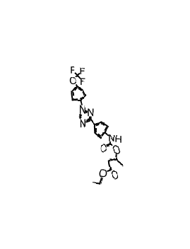 CCOC(=O)CC(C)OC(=O)Nc1ccc(-c2ncn(-c3ccc(OC(F)(F)F)cc3)n2)cc1